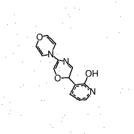 Oc1ncccc1C1C=NC(N2C=COC=C2)=CO1